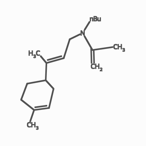 C=C(C)N(C/C=C(\C)C1CC=C(C)CC1)CCCC